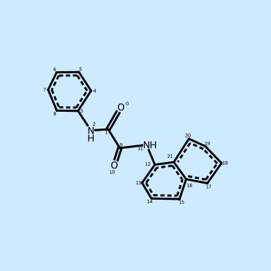 O=C(Nc1ccccc1)C(=O)Nc1cccc2ccccc12